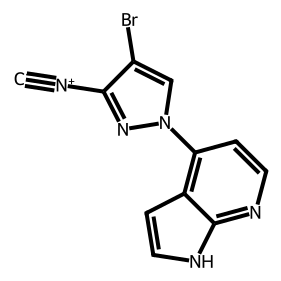 [C-]#[N+]c1nn(-c2ccnc3[nH]ccc23)cc1Br